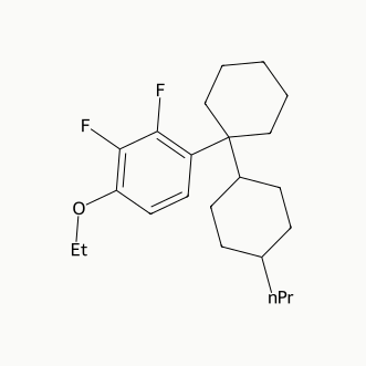 CCCC1CCC(C2(c3ccc(OCC)c(F)c3F)CCCCC2)CC1